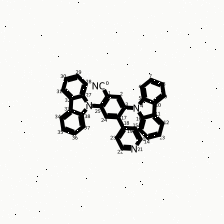 N#Cc1cc(-n2c3ccccc3c3ccccc32)c(-c2ccncc2)cc1-n1c2ccccc2c2ccccc21